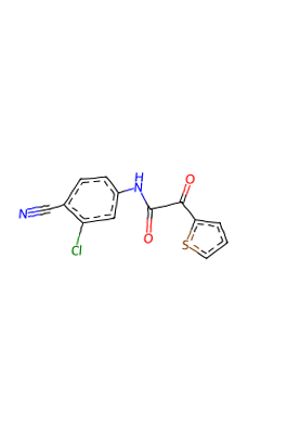 N#Cc1ccc(NC(=O)C(=O)c2cccs2)cc1Cl